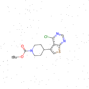 CC(C)(C)OC(=O)N1CCC(c2csc3ncnc(Cl)c23)CC1